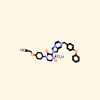 C#CCOC1CCC(N2CC[N+]([O-])(C(=O)O)C(N3CC4=CN(Cc5ccc(Oc6ccccc6)cc5)C=CN4C3)C2=O)CC1